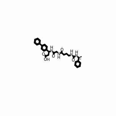 C[C@H](NC(=O)NCCCC(=O)NCC(=O)NC(CC(=O)O)c1ccc(-c2ccccc2)cc1)c1ccccc1